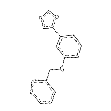 c1ccc(COc2cccc(-c3cnco3)c2)cc1